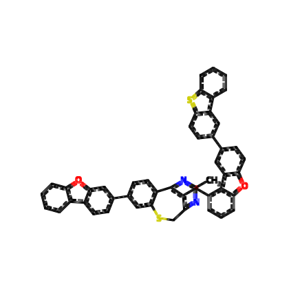 Cc1nc2c(Cc3cccc4oc5ccc(-c6ccc7sc8ccccc8c7c6)cc5c34)c(n1)-c1ccc(-c3ccc4c(c3)oc3ccccc34)cc1SC2